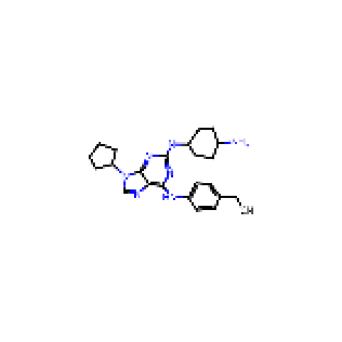 N#CCc1ccc(Nc2nc(NC3CCC(N)CC3)nc3c2ncn3C2CCCC2)cc1